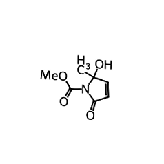 COC(=O)N1C(=O)C=CC1(C)O